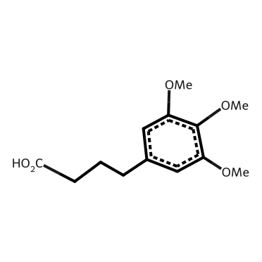 COc1cc(CCCC(=O)O)cc(OC)c1OC